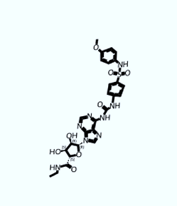 CCNC(=O)[C@H]1O[C@@H](n2cnc3c(NC(=O)Nc4ccc(S(=O)(=O)Nc5ccc(OC)cc5)cc4)ncnc32)[C@H](O)[C@@H]1O